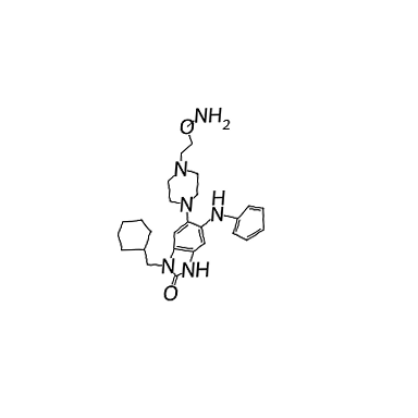 NOCCN1CCN(c2cc3c(cc2Nc2ccccc2)[nH]c(=O)n3CC2CCCCC2)CC1